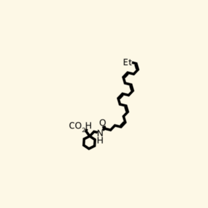 CC/C=C\C/C=C\C/C=C\C/C=C\C/C=C\C/C=C\CCC(=O)NCC1(CC(=O)O)CCCCC1